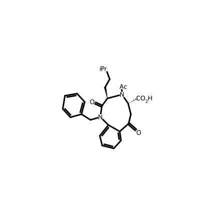 CC(=O)N1[C@H](CCC(C)C)C(=O)N(Cc2ccccc2)c2ccccc2C(=O)C[C@H]1C(=O)O